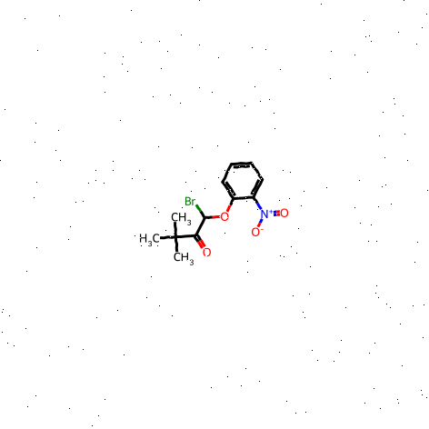 CC(C)(C)C(=O)C(Br)Oc1ccccc1[N+](=O)[O-]